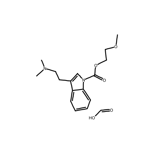 COCCOC(=O)n1cc(CCN(C)C)c2ccccc21.O=CO